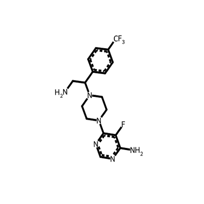 NCC(c1ccc(C(F)(F)F)cc1)N1CCN(c2ncnc(N)c2F)CC1